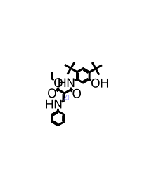 CCOC(=O)/C(=C\Nc1ccccc1)C(=O)Nc1cc(O)c(C(C)(C)C)cc1C(C)(C)C